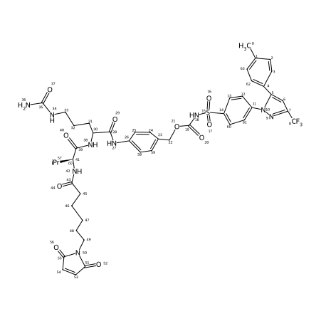 Cc1ccc(-c2cc(C(F)(F)F)nn2-c2ccc(S(=O)(=O)NC(=O)OCc3ccc(NC(=O)C(CCCNC(N)=O)NC(=O)[C@@H](NC(=O)CCCCCN4C(=O)C=CC4=O)C(C)C)cc3)cc2)cc1